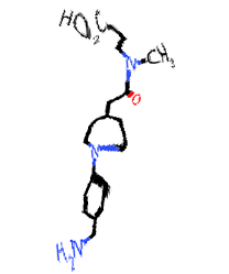 CN(CCC(=O)O)C(=O)CC1CCN(c2ccc(CN)cc2)CC1